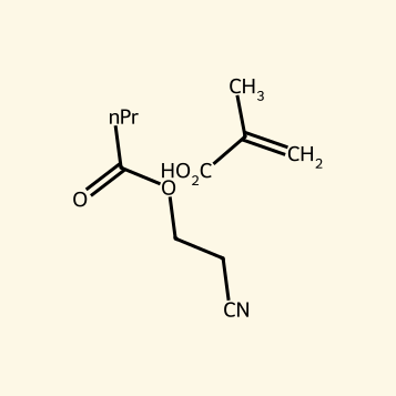 C=C(C)C(=O)O.CCCC(=O)OCCC#N